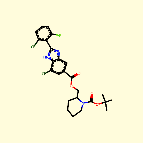 CC(C)(C)OC(=O)N1CCCCC1COC(=O)c1cc(Cl)c2[nH]c(-c3c(F)cccc3Cl)nc2c1